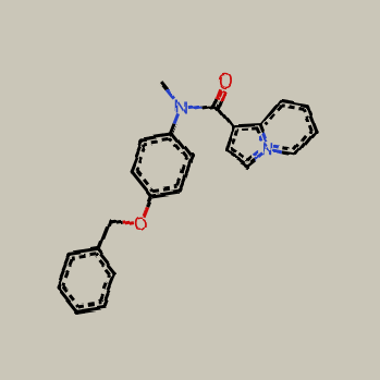 CN(C(=O)c1ccn2ccccc12)c1ccc(OCc2ccccc2)cc1